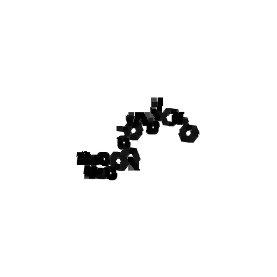 COc1cc2nccc(Oc3ccc(NC(=O)NC4CCN(Cc5ccccc5)CC4)c(C)c3C)c2cc1OC